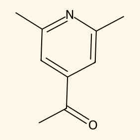 CC(=O)c1cc(C)nc(C)c1